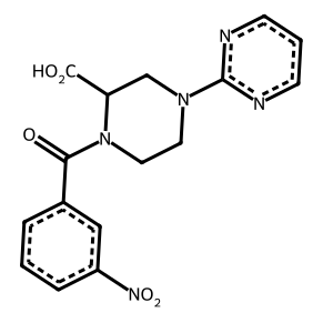 O=C(O)C1CN(c2ncccn2)CCN1C(=O)c1cccc([N+](=O)[O-])c1